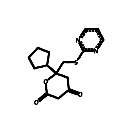 O=C1CC(=O)OC(CSc2ncccn2)(C2CCCC2)C1